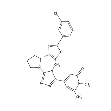 Cc1cc(-c2nnc(N3CCC[C@@H]3c3cc(-c4cccc(Cl)c4)on3)n2C)cc(=O)n1C